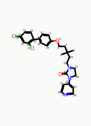 CC(C)(CCOc1ccc(-c2ccc(Cl)cc2Cl)cc1)CCN1CCN(c2ccncc2)C1=O